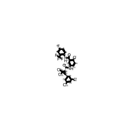 O=C(Nc1ccc(F)cc1C(F)(F)F)c1cc(NC(=O)[C@@H]2[C@@H](c3cc(Cl)cc(Cl)c3)C2(Cl)Cl)ccc1Cl